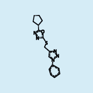 c1ccc(-n2cc(CSc3nnc(C4CCCC4)o3)nn2)cc1